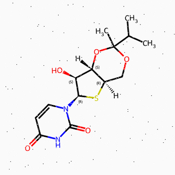 CC(C)C1(C)OC[C@H]2S[C@@H](n3ccc(=O)[nH]c3=O)[C@@H](O)[C@@H]2O1